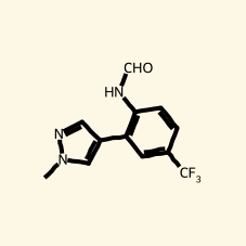 Cn1cc(-c2cc(C(F)(F)F)ccc2NC=O)cn1